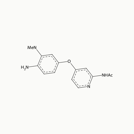 CNc1cc(Oc2ccnc(NC(C)=O)c2)ccc1N